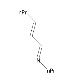 CCCC=CC=NCCC